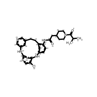 CC(C)C(=O)N1CCC(CC(=O)Nc2ccc3cc2CCc2cncc(c2)Nc2ncc(Cl)c(n2)N3)CC1